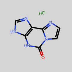 Cl.O=c1[nH]c2[nH]cnc2c2nccn12